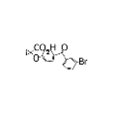 O=C(c1ccc(OC2(C(=O)O)CC2)cc1)c1cccc(Br)c1